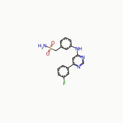 NS(=O)(=O)Cc1cccc(Nc2cc(-c3cccc(F)c3)ncn2)c1